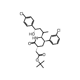 CC(C[C@H](O)c1ccc(Cl)cc1)[C@@H]1NC(=O)[C@@H](CC(=O)OC(C)(C)C)C[C@@H]1c1cccc(Cl)c1